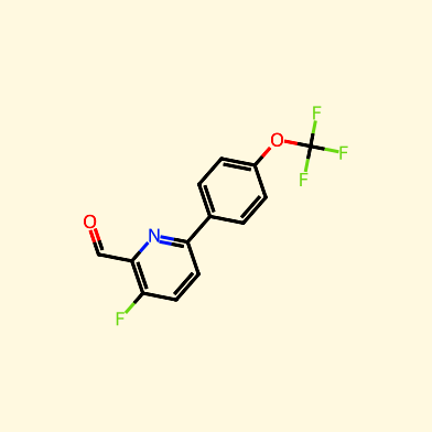 O=Cc1nc(-c2ccc(OC(F)(F)F)cc2)ccc1F